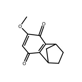 COC1=CC(=O)C2=C(C1=O)C1CCC2C1